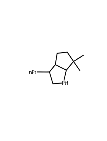 CCCC1CPC2C1CCC2(C)C